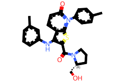 Cc1ccc(-n2c(=O)ccc3c(Nc4cccc(C)c4)c(C(=O)N4CCC[C@@H]4CO)sc32)cc1